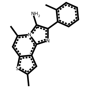 Cc1cc2c(cc(C)n3c(N)c(-c4ccccc4C)nc23)s1